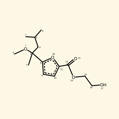 COC(C)(CC(C)C)c1ccc(C(=O)OCCO)o1